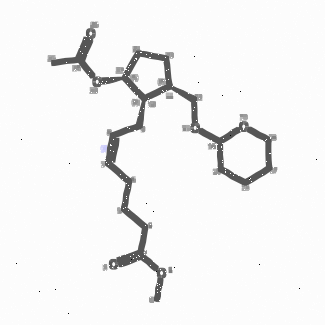 COC(=O)CCC/C=C\C[C@@H]1[C@H](COC2CCCCO2)CC[C@@H]1OC(C)=O